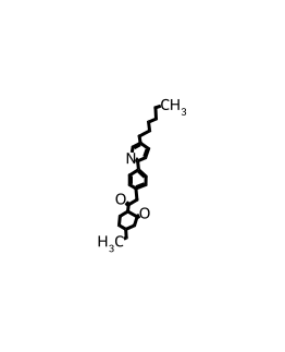 CCCCCCc1ccc(-c2ccc(CC(=O)C3CCC(CC)CC3=O)cc2)nc1